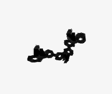 CCn1c2ccccc2c2cc(-c3ccc4c(c3)c3cc(-c5ccc6c(c5)c5ccccc5n6CC)ccc3n4CC)ccc21